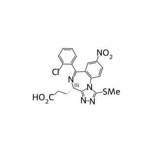 CSc1nnc2n1-c1ccc([N+](=O)[O-])cc1C(c1ccccc1Cl)=N[C@H]2CCC(=O)O